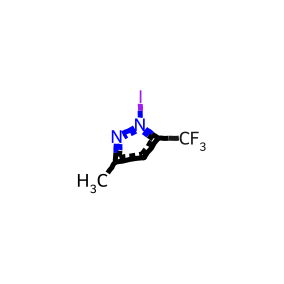 Cc1cc(C(F)(F)F)n(I)n1